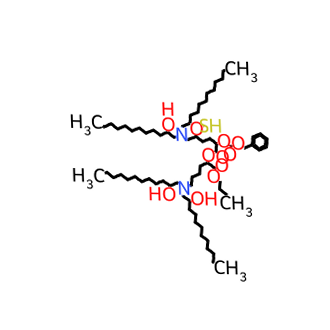 CCCCCCCCCCC(O)CN(CCCCC(OC(=O)C(CCCCN(CC(O)CCCCCCCCCC)CC(CCCCCCCCCC)OS)OC(=O)OCc1ccccc1)C(=O)OCCCC)CC(O)CCCCCCCCCC